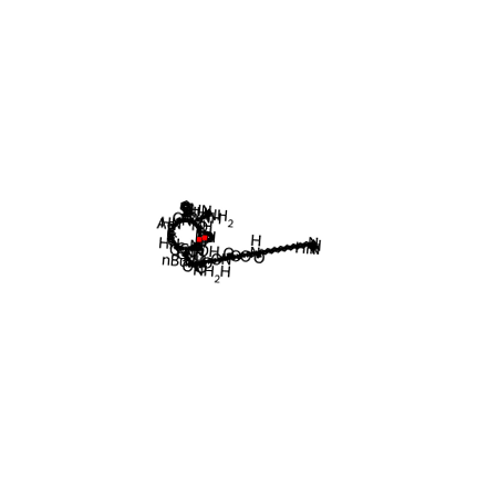 CCCC[C@H](NC(=O)[C@H](CN)NC(=O)COCCOCCNC(=O)COCCOCCNC(=O)CCCCCCCCCCCCCCCc1nnn[nH]1)C(=O)N[C@H]1CCC(=O)NCCCC[C@@H](C(C)=O)NC(=O)[C@H](Cc2c[nH]c3ccccc23)NC(=O)[C@H](CCCNC(=N)N)NC(=O)[C@@H](Cc2ccccc2)NC(=O)[C@@H]2C[C@@H](O)CN2C1=O